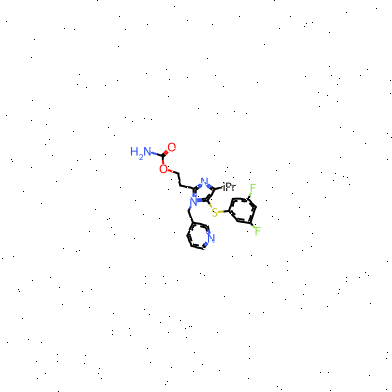 CC(C)c1nc(CCOC(N)=O)n(Cc2cccnc2)c1Sc1cc(F)cc(F)c1